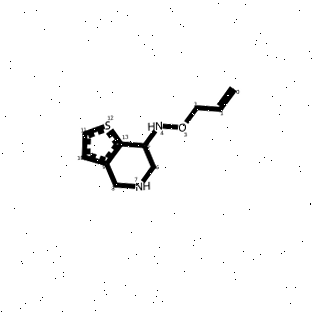 C=CCONC1CNCc2ccsc21